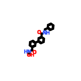 O=C(NO)c1cccc(-c2cccc(C(=O)NCc3ccccc3)c2)c1